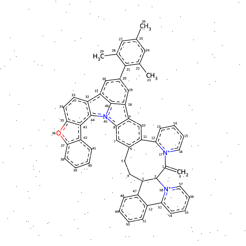 C=C1C2C(CCc3cc4c(cc3-c3cccc[n+]31)c1cc(-c3c(C)cc(C)cc3C)cc3c5ccc6oc7ccccc7c6c5n4c13)c1ccccc1-c1cccc[n+]12